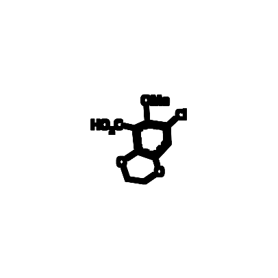 COc1c(Cl)cc2c(c1C(=O)O)OCCO2